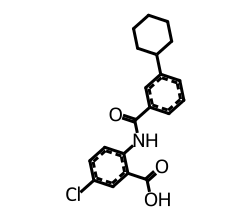 O=C(Nc1ccc(Cl)cc1C(=O)O)c1cccc(C2CCCCC2)c1